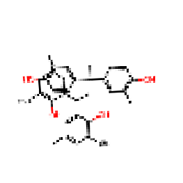 Cc1cc(C(CC(C)(c2ccc(O)c(C)c2)c2ccc(O)c(C)c2)c2cc(C)cc(C(C)(C)C)c2O)c(O)c(C(C)(C)C)c1